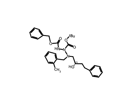 Cc1ccccc1CN(C[C@@H](O)CCc1ccccc1)N(NC(=O)OCc1ccccc1)C(=O)OC(C)(C)C